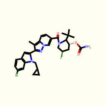 Cc1c(-c2cc3ccc(Br)cc3n2CC2CC2)nn2cc(C(=O)N3C[C@H](F)C[C@@H](OC(N)=O)C3C(C)(C)C)ccc12